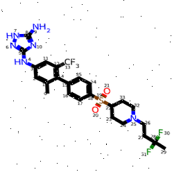 Cc1cc(Nc2n[nH]c(N)n2)cc(C(F)(F)F)c1-c1ccc(S(=O)(=O)C2CCN(CCC(C)(F)F)CC2)cc1